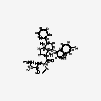 CC[C@H](NC(=O)[C@H](C)NC)C(=O)N1CC[C@@H]2[C@H]1[C@@H](c1c[nH]c3cc(C)ccc13)CN2c1ncccn1